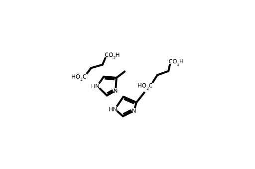 Cc1c[nH]cn1.Cc1c[nH]cn1.O=C(O)CCC(=O)O.O=C(O)CCC(=O)O